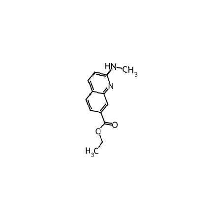 CCOC(=O)c1ccc2ccc(NC)nc2c1